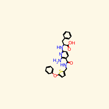 Nc1nc(NC(Cc2ccccc2)C(=O)O)ccc1C(=O)NCc1ccc(Oc2ccccc2)s1